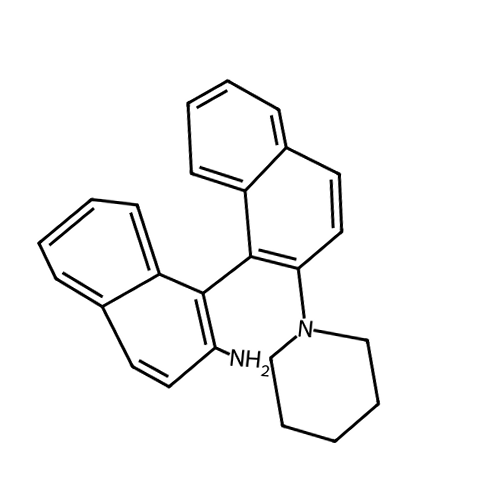 Nc1ccc2ccccc2c1-c1c(N2CCCCC2)ccc2ccccc12